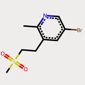 Cc1ncc(Br)cc1CCS(C)(=O)=O